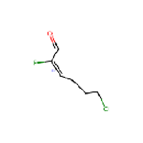 O=C/C(F)=C\CCCCl